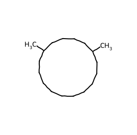 CC1CCCCCCCCCCC(C)CCCC1